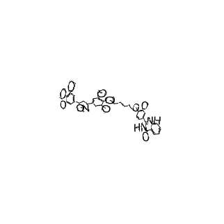 COc1cc(C2NC(=O)c3ccccc3N2)ccc1OCCCCCOc1c(OC)cc(C2=NOC(c3cc(OC)c(OC)c(OC)c3)C2)cc1OC